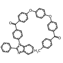 Cc1ccc(C(=O)c2ccc(Oc3ccc(Oc4ccc(C(=O)c5ccc(-n6c(-c7ccccc7)nc7ccccc76)cc5)cc4)cc3)cc2)cc1